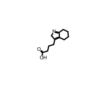 O=C(O)CCCC1=C2CCCCC2=NC1